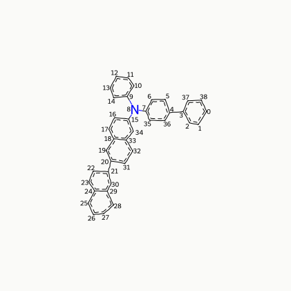 c1ccc(-c2ccc(N(c3ccccc3)c3ccc4cc(-c5ccc6ccccc6c5)ccc4c3)cc2)cc1